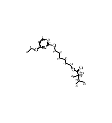 CCOc1ccnc(OCCCCCCOC(=O)C(C)(C)C(C)C)n1